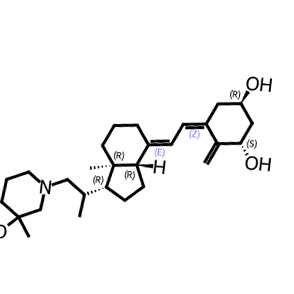 C=C1/C(=C\C=C2/CCC[C@]3(C)[C@@H](C(C)CN4CCCC(C)(OC)C4)CC[C@@H]23)C[C@@H](O)C[C@@H]1O